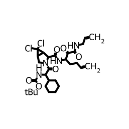 C=CCCC(NC(=O)C1C2C(CN1C(=O)C(NC(=O)OC(C)(C)C)C1CCCCC1)C2(Cl)Cl)C(=O)C(=O)NCC=C